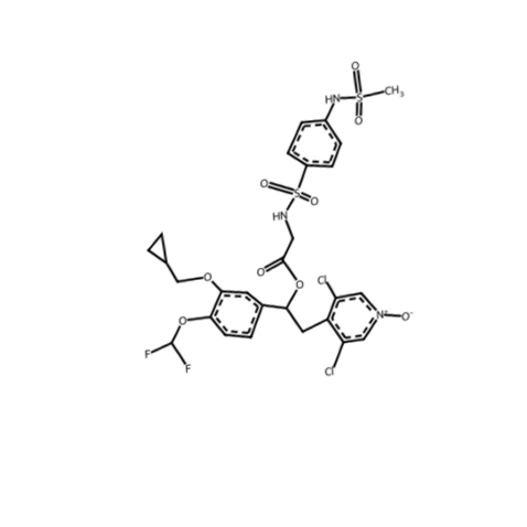 CS(=O)(=O)Nc1ccc(S(=O)(=O)NCC(=O)OC(Cc2c(Cl)c[n+]([O-])cc2Cl)c2ccc(OC(F)F)c(OCC3CC3)c2)cc1